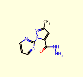 NNC(=O)c1cc(C(F)(F)F)nn1-c1ncccn1